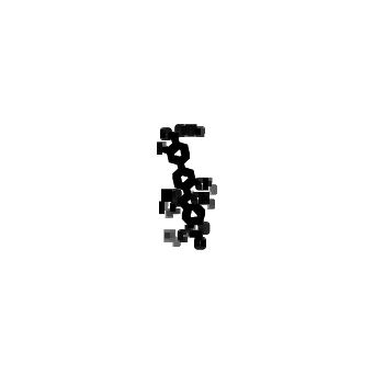 COC(=O)c1ccc(-c2ccc([C@@H](C)[C@@](O)(c3ccc4oc(=O)n(C)c4c3)C(F)(F)F)c(C(F)(F)F)c2)cc1F